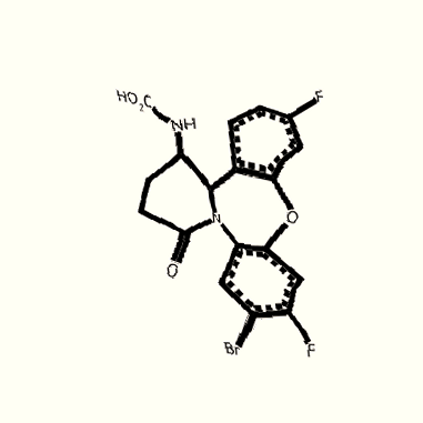 O=C(O)NC1CCC(=O)N2c3cc(Br)c(F)cc3Oc3cc(F)ccc3C12